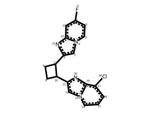 Fc1ccn2cc(C3CCC3c3cn4cccc(Cl)c4n3)nc2c1